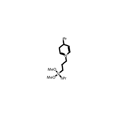 CCC[Si](CCC[N+]1=CCC(C(C)C)C=C1)(OC)OC